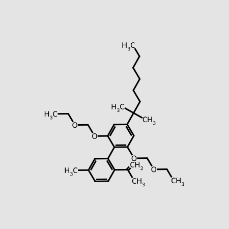 C=C(C)c1ccc(C)cc1-c1c(OCOCC)cc(C(C)(C)CCCCCC)cc1OCOCC